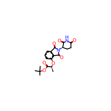 C[C@H](Oc1cccc2c1C(=O)N([C@@H]1CCC(=O)NC1=O)C2=O)C(=O)OC(C)(C)C